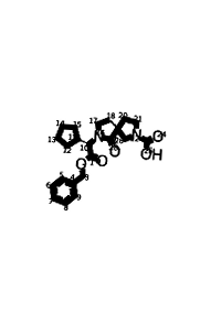 O=C(OCc1ccccc1)[C@H](C1CCCC1)N1CC[C@@]2(CCN(C(=O)O)C2)C1=O